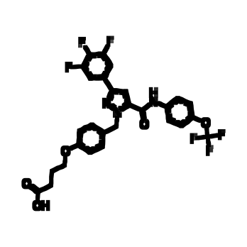 O=C(O)CCCOc1ccc(Cn2nc(-c3cc(F)c(F)c(F)c3)cc2C(=O)Nc2ccc(OC(F)(F)F)cc2)cc1